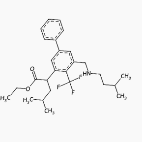 CCOC(=O)C(CC(C)C)c1cc(-c2ccccc2)cc(CNCCC(C)C)c1C(F)(F)F